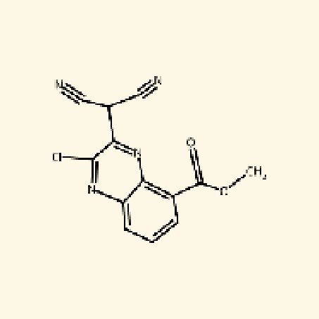 COC(=O)c1cccc2nc(Cl)c(C(C#N)C#N)nc12